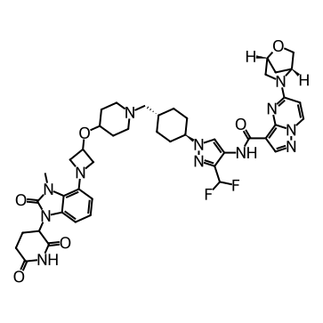 Cn1c(=O)n(C2CCC(=O)NC2=O)c2cccc(N3CC(OC4CCN(C[C@H]5CC[C@H](n6cc(NC(=O)c7cnn8ccc(N9C[C@H]%10C[C@@H]9CO%10)nc78)c(C(F)F)n6)CC5)CC4)C3)c21